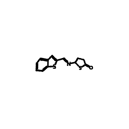 O=C1CCC(N=Cc2cc3ccccc3s2)S1